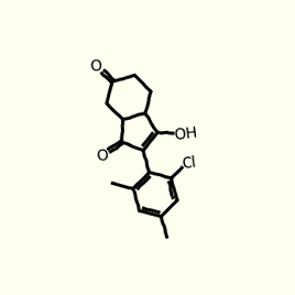 Cc1cc(C)c(C2=C(O)C3CCC(=O)CC3C2=O)c(Cl)c1